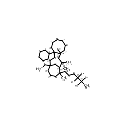 CCC1(CCC2(C3CCCCC3)CCCCCCC2)CCCC(C)(CCCC(I)(I)C(C)(I)I)[C@](C)(C(C)CCI)C1